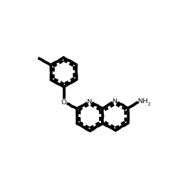 Cc1cccc(Oc2ccc3ccc(N)nc3n2)c1